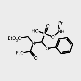 CCOC(=O)CN(C(=O)C(F)(F)F)C(Oc1ccccc1)P(=O)(O)ONC(C)C